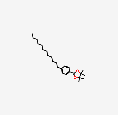 CCCCCCCCCCCCc1ccc(B2OC(C)(C)C(C)(C)O2)cc1